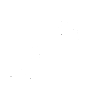 O=C(O)c1ccc(Oc2cccc(N3C(=O)c4ccc(Oc5ccc6c(c5)C(=O)N(c5cccc(Oc7ccc(C(=O)O)c(C(=O)O)c7)c5)C6=O)cc4C3=O)c2)cc1C(=O)O